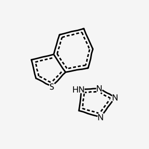 c1ccc2sccc2c1.c1nnn[nH]1